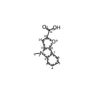 Cn1c2ccccc2c2oc(C(=O)O)cc21